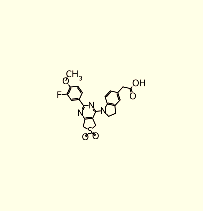 COc1ccc(-c2nc3c(c(N4CCc5cc(CC(=O)O)ccc54)n2)CS(=O)(=O)C3)cc1F